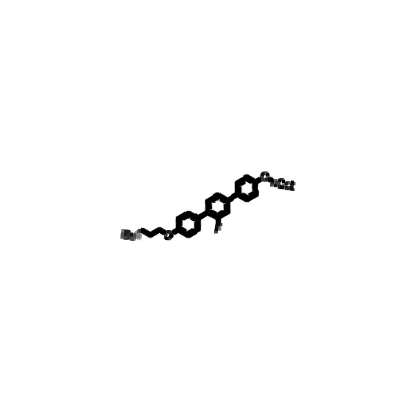 CCCCCCCCOc1ccc(-c2ccc(-c3ccc(OCCC[C@@H](C)CC)cc3)c(F)c2)cc1